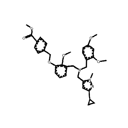 COC(=O)c1ccc(COc2cccc(CN(Cc3ccc(OC)cc3OC)Cc3cc(C4CC4)nn3C)c2OC)cc1